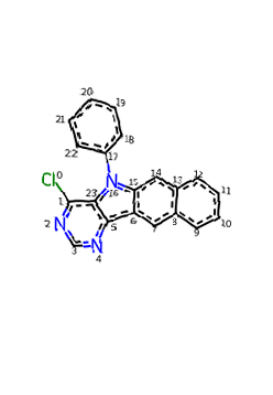 Clc1ncnc2c3cc4ccccc4cc3n(-c3ccccc3)c12